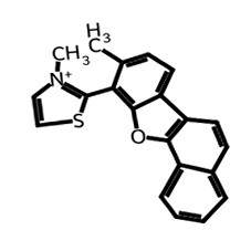 Cc1ccc2c(oc3c4ccccc4ccc23)c1-c1scc[n+]1C